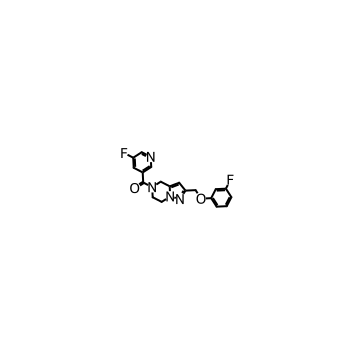 O=C(c1cncc(F)c1)N1CCn2nc(COc3cccc(F)c3)cc2C1